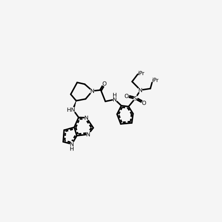 CC(C)CN(CC(C)C)S(=O)(=O)c1ccccc1NCC(=O)N1CCC[C@H](Nc2ncnc3[nH]ccc23)C1